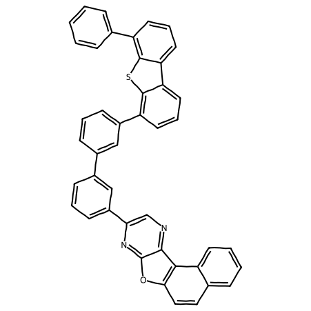 c1ccc(-c2cccc3c2sc2c(-c4cccc(-c5cccc(-c6cnc7c(n6)oc6ccc8ccccc8c67)c5)c4)cccc23)cc1